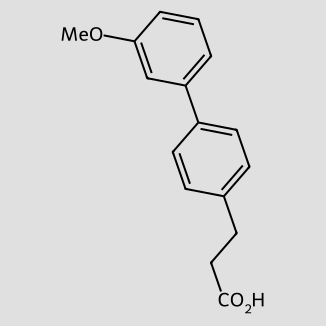 COc1cccc(-c2ccc(CCC(=O)O)cc2)c1